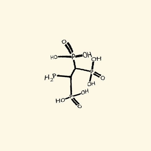 O=P(O)(O)C(P)C(P(=O)(O)O)P(=O)(O)O